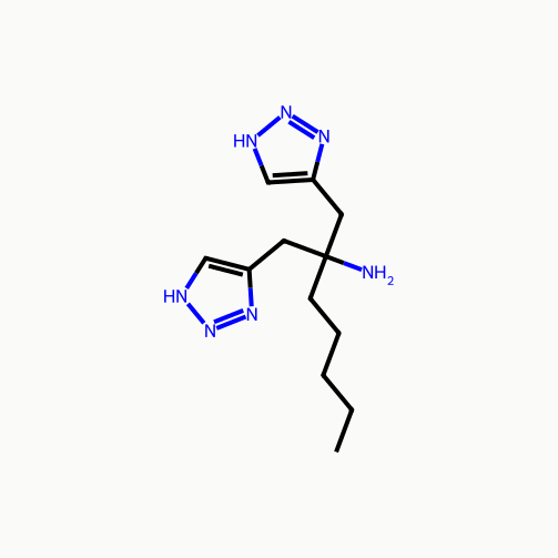 CCCCCC(N)(Cc1c[nH]nn1)Cc1c[nH]nn1